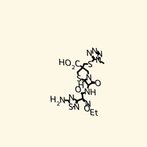 CCON=C(C(=O)NC1C(=O)N2CC(CSc3nnnn3C)(C(=O)O)CS[C@H]12)c1nsc(N)n1